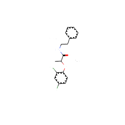 CC(Oc1ccc(Cl)cc1Cl)C(=O)N[C@@H](Cc1ccccc1)C(=O)O.[NaH]